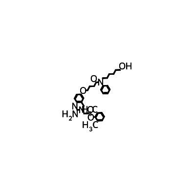 Cc1cccc(C)c1OC(=O)CN1Cc2cc(OCCCC(=O)N(CCCCCCO)c3ccccc3)ccc2N=C1N